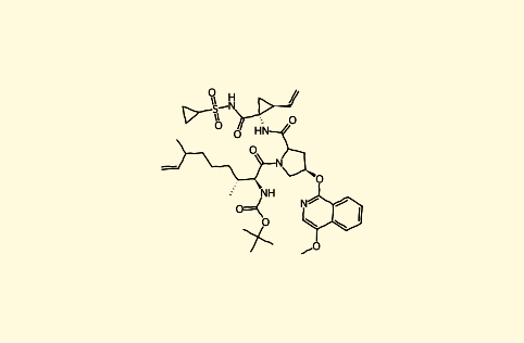 C=CC(C)CCC[C@@H](C)[C@H](NC(=O)OC(C)(C)C)C(=O)N1C[C@H](Oc2ncc(OC)c3ccccc23)CC1C(=O)N[C@]1(C(=O)NS(=O)(=O)C2CC2)C[C@H]1C=C